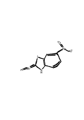 [N-]=[N+]=c1[nH]c2ccc([N+](=O)[O-])cc2s1